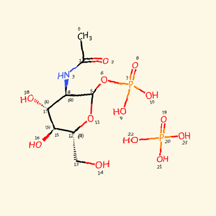 CC(=O)N[C@H]1C(OP(=O)(O)O)O[C@H](CO)[C@@H](O)[C@@H]1O.O=P(O)(O)O